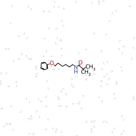 C=C(C)C(=O)NCCCCCCOc1ccccc1